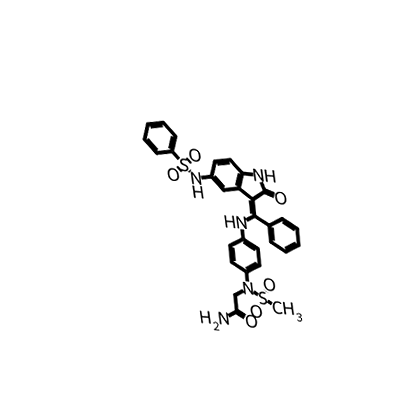 CS(=O)(=O)N(CC(N)=O)c1ccc(NC(=C2C(=O)Nc3ccc(NS(=O)(=O)c4ccccc4)cc32)c2ccccc2)cc1